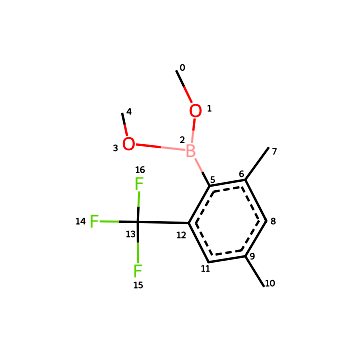 COB(OC)c1c(C)cc(C)cc1C(F)(F)F